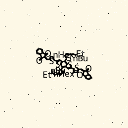 CCCCCCc1cc(C=C2C(=O)c3ccccc3C2=O)sc1-c1cc2c(-c3ccc(CC(CC)CCCC)s3)c3sc(-c4sc(C=C5C(=O)c6ccccc6C5=O)cc4CCCCCC)cc3c(-c3ccc(CC(CC)CCCC)s3)c2s1